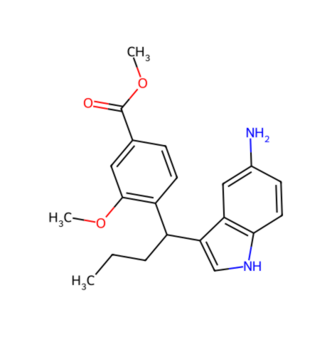 CCCC(c1ccc(C(=O)OC)cc1OC)c1c[nH]c2ccc(N)cc12